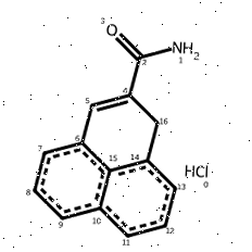 Cl.NC(=O)C1=Cc2cccc3cccc(c23)C1